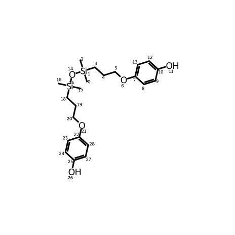 C[Si](C)(CCCOc1ccc(O)cc1)O[Si](C)(C)CCCOc1ccc(O)cc1